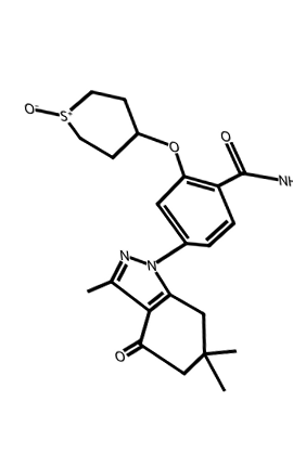 Cc1nn(-c2ccc(C(N)=O)c(OC3CC[S+]([O-])CC3)c2)c2c1C(=O)CC(C)(C)C2